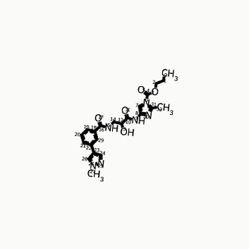 CCCOC(=O)n1cc(NC(=O)C(O)CNC(=O)c2cccc(-c3cnn(C)c3)c2)nc1C